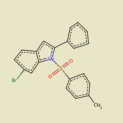 Cc1ccc(S(=O)(=O)n2c(-c3ccccc3)cc3ccc(Br)cc32)cc1